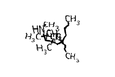 CCCCC(C)(CCC)CC(C)(C)CC(C)(C)NC